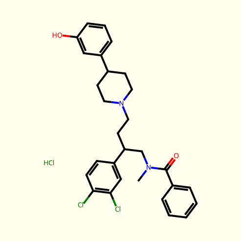 CN(CC(CCN1CCC(c2cccc(O)c2)CC1)c1ccc(Cl)c(Cl)c1)C(=O)c1ccccc1.Cl